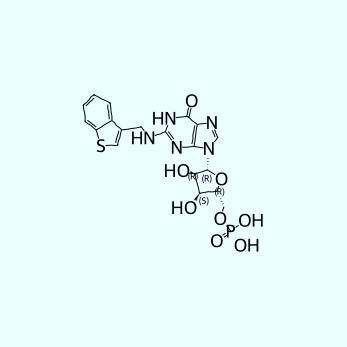 O=c1[nH]c(NCc2csc3ccccc23)nc2c1ncn2[C@@H]1O[C@H](COP(=O)(O)O)[C@@H](O)[C@H]1O